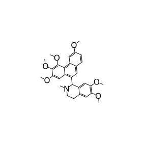 COc1ccc2cc(C3c4cc(OC)c(OC)cc4CCN3C)c3cc(OC)c(OC)c(OC)c3c2c1